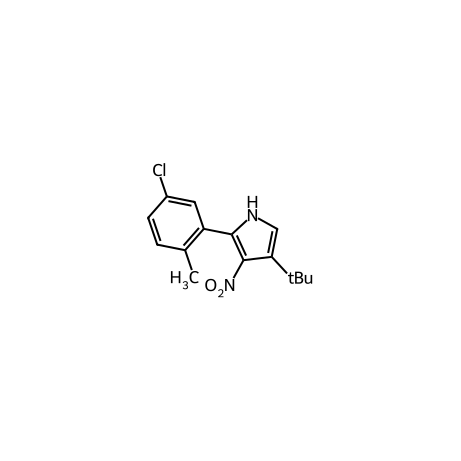 Cc1ccc(Cl)cc1-c1[nH]cc(C(C)(C)C)c1[N+](=O)[O-]